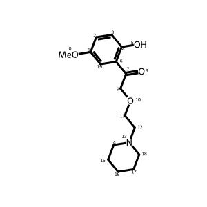 COc1ccc(O)c(C(=O)COCCN2CCCCC2)c1